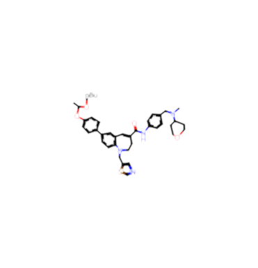 CCCCOC(C)Oc1ccc(-c2ccc3c(c2)C=C(C(=O)Nc2ccc(CN(C)C4CCOCC4)cc2)CCN3Cc2cncs2)cc1